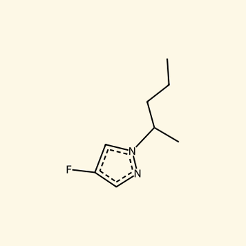 CCCC(C)n1cc(F)cn1